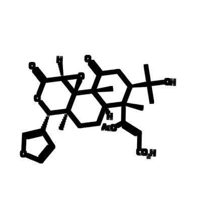 CC(=O)O/C(=C\C(=O)O)[C@]1(C)[C@H]2CC[C@@]3(C)[C@H](c4ccoc4)OC(=O)[C@H]4O[C@]43[C@]2(C)C(=O)C[C@H]1C(C)(C)O